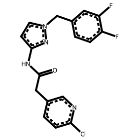 O=C(Cc1ccc(Cl)nc1)Nc1ccn(Cc2ccc(F)c(F)c2)n1